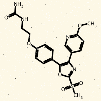 COc1ccc(-c2nc(S(C)(=O)=O)oc2-c2ccc(OCCNC(N)=O)cc2)cn1